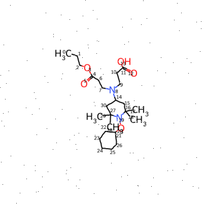 CCCOC(=O)CCN(CCC(=O)O)C1CC(C)(C)N(OC2CCCCC2)C(C)(C)C1